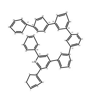 C1=CCCC(c2cc(-c3cccc(-c4cccc(-c5cccc(-c6ccc(-c7ccccc7)cc6)c5)c4)c3)cc(-c3ccccc3)n2)=C1